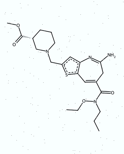 CCCN(OCC)C(=O)C1=Cc2sc(CN3CCC[C@@H](C(=O)OC)C3)cc2N=C(N)C1